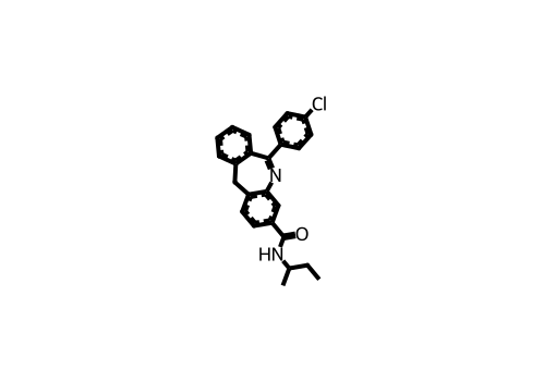 CCC(C)NC(=O)c1ccc2c(c1)N=C(c1ccc(Cl)cc1)c1ccccc1C2